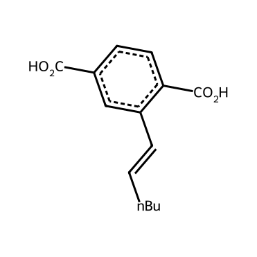 CCCCC=Cc1cc(C(=O)O)ccc1C(=O)O